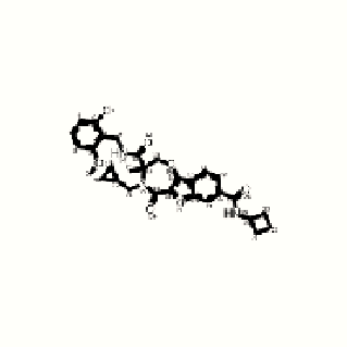 COc1cccc(Cl)c1CNC(=O)C1(C)COc2c(oc3cc(C(=O)NC4CCC4)ccc23)C(=O)N1CC1CC1